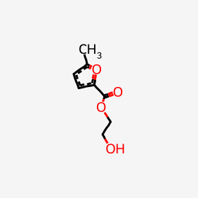 Cc1ccc(C(=O)OCCO)o1